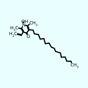 C=Cc1c(C)n(O)c(C)c(CCCCCCCCCCCCCCCC)c1=O